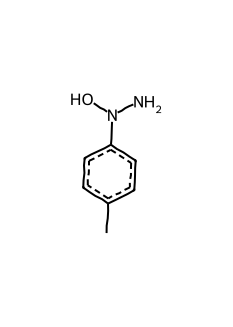 Cc1ccc(N(N)O)cc1